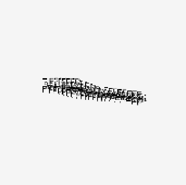 FC(F)C(F)(F)C(F)(F)C(F)(F)C(F)(F)C(F)(F)C(F)(F)C(F)(F)C(F)(F)C(F)(F)C(F)(F)C(F)(F)C(F)(F)C(F)(F)C(F)(F)C(F)(F)C(F)(F)C(F)(F)C(F)(F)C(F)(F)C(F)(F)F